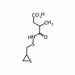 CC(CC(=O)O)C(=O)NSCC1CS1